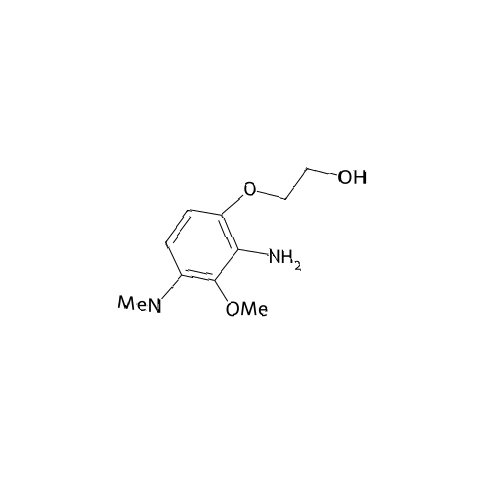 CNc1ccc(OCCO)c(N)c1OC